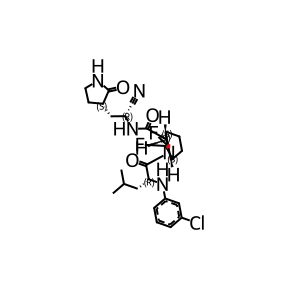 CC(C)C[C@@H](Nc1cccc(Cl)c1)C(=O)N1[C@H]2CC[C@@H]([C@H]1C(=O)N[C@@H](C#N)C[C@@H]1CCNC1=O)C(F)(F)C2